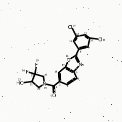 O=C(c1ccc2nc(-c3cc(Cl)cc(Cl)c3)oc2c1)N1CC(O)C(F)(F)C1